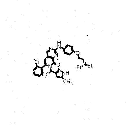 CCN(CC)CCOc1ccc(Nc2ncc3cc(-c4ccccc4Cl)n(C(C)c4cc(C)[nH]n4)c(=O)c3n2)cc1